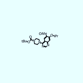 COc1cc2c(N3CCN(C(=O)OC(C)(C)C)CC3)ncnc2cc1OC(C)C